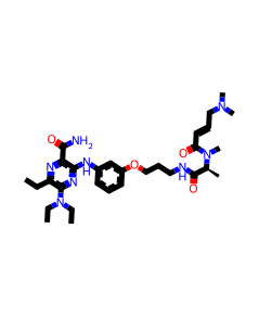 CCc1nc(C(N)=O)c(Nc2cccc(OCCCNC(=O)[C@H](C)N(C)C(=O)/C=C/CN(C)C)c2)nc1N(CC)CC